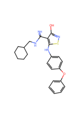 N=C(NCC1CCCCC1)c1c(O)nsc1Nc1ccc(Oc2ccccc2)cc1